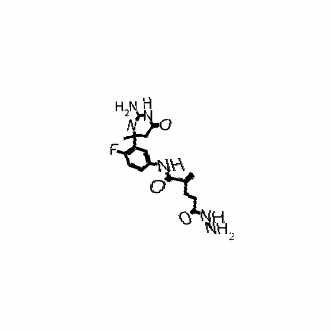 C=C(CCC(=O)NN)C(=O)Nc1ccc(F)c(C2(C)CC(=O)NC(N)=N2)c1